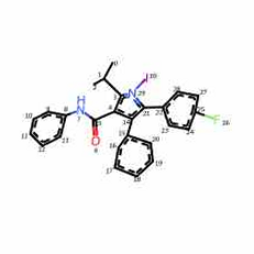 CC(C)c1c(C(=O)Nc2ccccc2)c(-c2ccccc2)c(-c2ccc(F)cc2)n1I